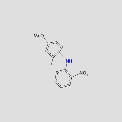 COc1ccc(Nc2ccccc2[N+](=O)[O-])c(C)c1